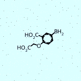 Bc1ccc(OCC(=O)O)c(C(=O)O)c1